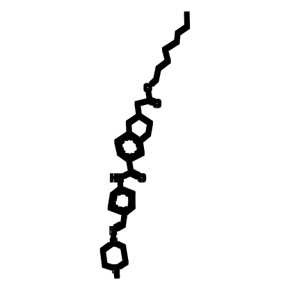 CCCCCCCCOC(=O)CC1CCc2cc(C(=O)Nc3ccc(C=NN4CCN(C)CC4)cc3)ccc2C1